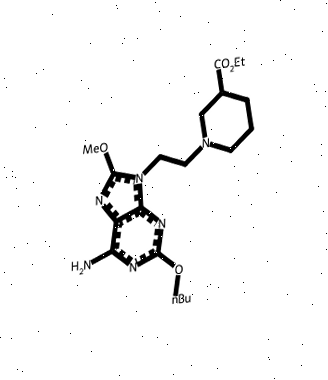 CCCCOc1nc(N)c2nc(OC)n(CCN3CCCC(C(=O)OCC)C3)c2n1